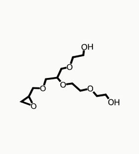 OCCOCCOC(COCCO)COCC1CO1